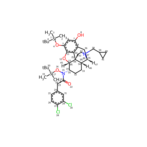 CC(C)(C)[Si](C)(C)Oc1cc(O)c2c3c1O[C@H]1[C@@H](N(O[Si](C)(C)C(C)(C)C)C(=O)Cc4ccc(Cl)c(Cl)c4)CC[C@H]4[C@@H](C2)N(CC2CC2)CC[C@@]341